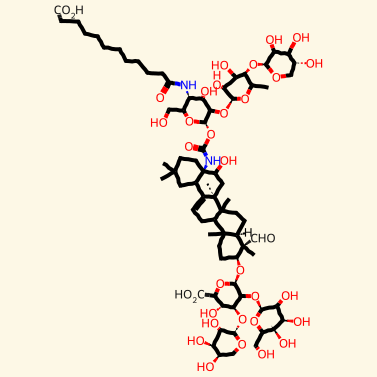 CC1O[C@@H](OC2C(O)[C@@H](NC(=O)CCCCCCCCCCC(=O)O)C(CO)O[C@H]2OC(=O)N[C@]23CCC(C)(C)CC2C2=CCC4C5(C)CC[C@H](O[C@@H]6OC(C(=O)O)[C@@H](O)[C@H](O[C@@H]7OC[C@@H](O)[C@@H](O)C7O)C6O[C@@H]6OC(CO)[C@H](O)[C@H](O)C6O)[C@](C)(C=O)[C@@H]5CCC4(C)[C@]2(C)CC3O)C(O)C(O)[C@H]1O[C@@H]1OC[C@@H](O)C(O)C1O